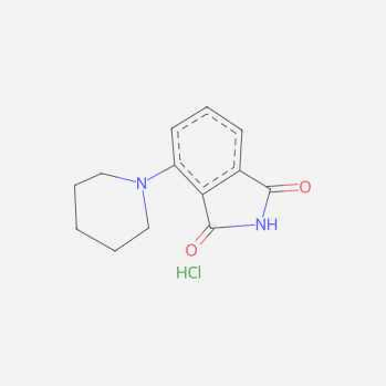 Cl.O=C1NC(=O)c2c1cccc2N1CCCCC1